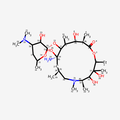 CCC1OC(=O)[C@H](C)[C@H](O)C(C)C(O[C@@H]2OC(C)CC(N(C)C)C2O)[C@](N)(O)C[C@H](C)CN(C)[C@H](C)C(O)C1(C)O